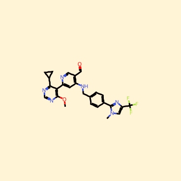 COc1ncnc(C2CC2)c1-c1cc(NCc2ccc(-c3nc(C(F)(F)F)cn3C)cc2)c(C=O)cn1